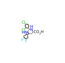 O=C(O)C1Cc2c([nH]c3cc(F)c(F)cc23)C(c2ccc(Cl)cc2Cl)N1